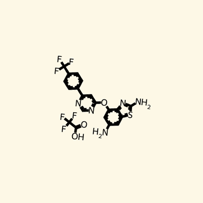 Nc1cc(Oc2cc(-c3ccc(C(F)(F)F)cc3)ncn2)c2nc(N)sc2c1.O=C(O)C(F)(F)F